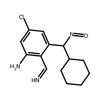 N=Cc1c(N)cc(Cl)cc1C(N=O)C1CCCCC1